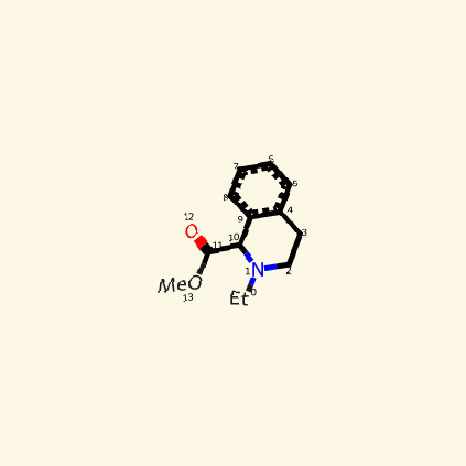 CCN1CCc2ccccc2C1C(=O)OC